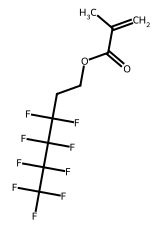 C=C(C)C(=O)OCCC(F)(F)C(F)(F)C(F)(F)C(F)(F)F